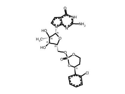 C[C@@]1(O)[C@H](O)[C@@H](COP2(=O)OCC[C@@H](c3ccccc3Cl)O2)O[C@H]1n1ccc2c(=O)[nH]c(N)nc21